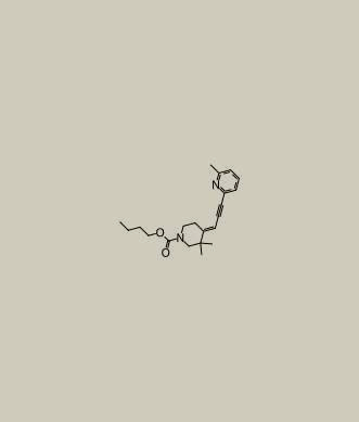 CCCCOC(=O)N1CC/C(=C\C#Cc2cccc(C)n2)C(C)(C)C1